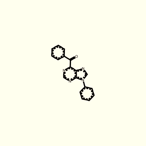 O=C(c1ccccc1)c1ncnc2c1ncn2-c1ccccc1